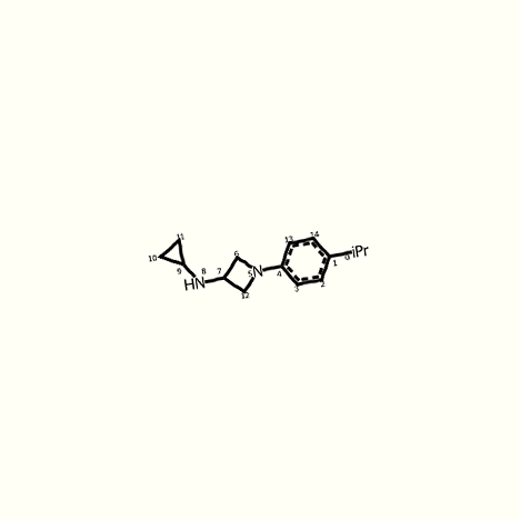 CC(C)c1ccc(N2CC(NC3CC3)C2)cc1